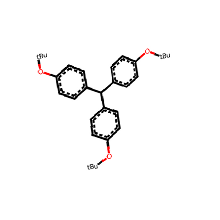 CC(C)(C)Oc1ccc(C(c2ccc(OC(C)(C)C)cc2)c2ccc(OC(C)(C)C)cc2)cc1